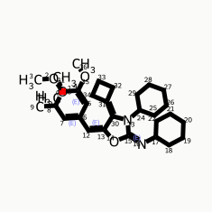 C=C(OC)\C(=C/C(=C\C(C)OC)/C=c1/o/c(=N/C2CCCCC2)n(C2CCCCC2)c1=C1CCC1)OC